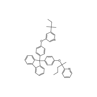 CCCC(C)(Oc1ccc(C2(c3ccc(Oc4cncc(C(C)(C)CC)c4)cc3)c3ccccc3-c3ccccc32)cc1)c1ccccn1